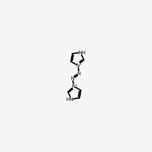 c1c[n+](N=N[n+]2cc[nH]c2)c[nH]1